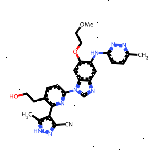 COCCOc1cc2c(cc1Nc1ccc(C)nn1)ncn2-c1ccc(CCO)c(-c2c(C#N)n[nH]c2C)n1